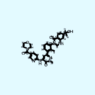 Cc1c(-c2cc(Nc3ccc(C(=O)N4CCOCC4)cn3)c(=O)n(C)n2)cccc1N1CNc2cc(C(C)(C)O)ccc2C1=O